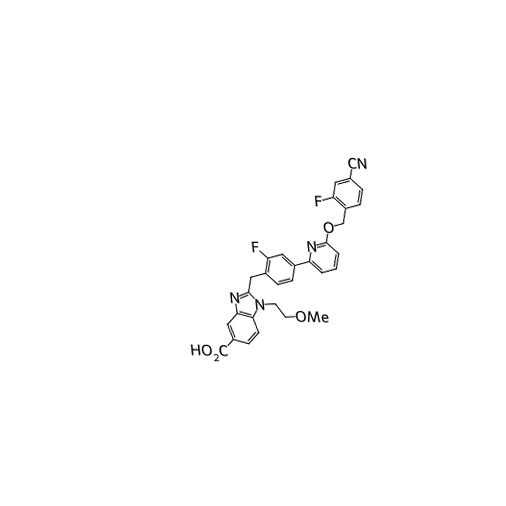 COCCn1c(Cc2ccc(-c3cccc(OCc4ccc(C#N)cc4F)n3)cc2F)nc2cc(C(=O)O)ccc21